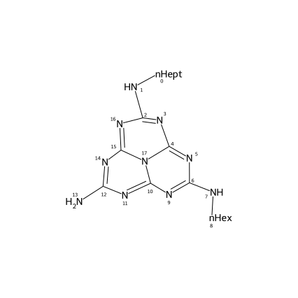 CCCCCCCNC1=NC2=NC(NCCCCCC)=NC3=NC(N)=NC(=N1)N32